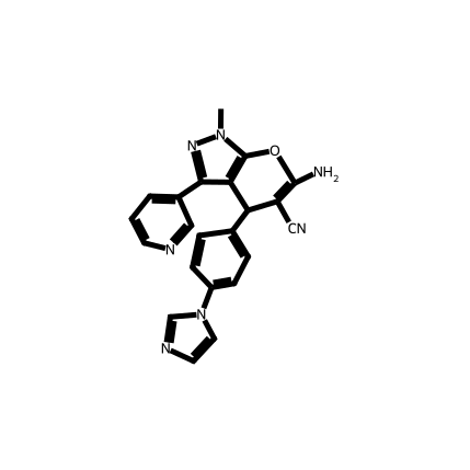 Cn1nc(-c2cccnc2)c2c1OC(N)=C(C#N)C2c1ccc(-n2ccnc2)cc1